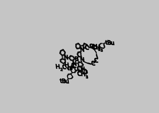 C=CCCC(/C=C(\CCC)C(C)(C)c1ccccc1-c1cc2c3c(c1)N1C/C=C\CCC/C=C/CC(CCC4CC=C(C(C)(C)C)CC4)C(C)(C)c4ccc5c6ccccc6n(c5c4)-c4ccc(c1c4)B3c1ccc(-n3c4ccccc4c4ccccc43)cc1N2C)C1=CCC(C(C)(C)C)CC1